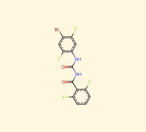 O=C(NC(=O)c1c(F)cccc1F)Nc1cc(F)c(Br)cc1F